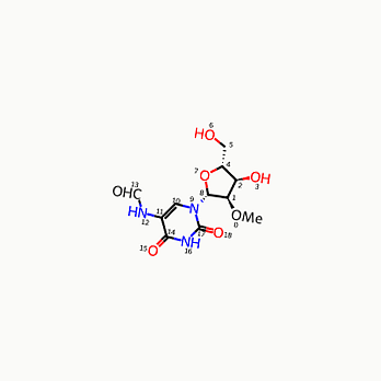 CO[C@@H]1[C@H](O)[C@@H](CO)O[C@H]1n1cc(NC=O)c(=O)[nH]c1=O